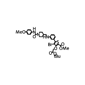 COC(=O)c1sc(-c2cccc(NCC3CCN(C(=O)Nc4ccc(OC)cc4)CC3)c2)c(Br)c1OCC(=O)OC(C)(C)C